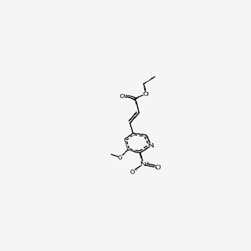 CCOC(=O)/C=C/c1cnc([N+](=O)[O-])c(OC)c1